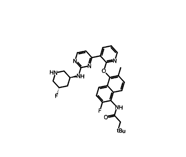 Cc1ccc2c(NC(=O)CC(C)(C)C)c(F)ccc2c1Oc1ncccc1-c1ccnc(N[C@@H]2CNC[C@@H](F)C2)n1